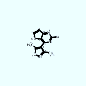 CCc1nc(-c2c(C)noc2C)c2sccc2n1